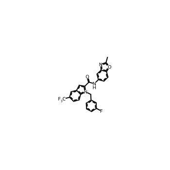 Cc1nc2cc(NC(=O)c3cc4cc(C(F)(F)F)ccc4n3Cc3cccc(F)c3)ccc2o1